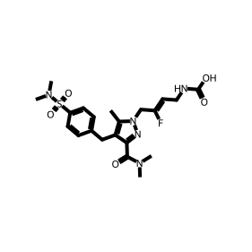 Cc1c(Cc2ccc(S(=O)(=O)N(C)C)cc2)c(C(=O)N(C)C)nn1C/C(F)=C/CNC(=O)O